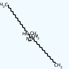 CCCCCCCCCCCCCCCCCCNC(C)C1=NCC[N+]1(C)CCCCCCCCCCCCCCCCCC